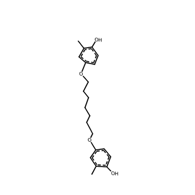 Cc1cc(OCCCCCCCOc2ccc(O)c(C)c2)ccc1O